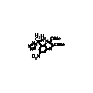 COc1nc2cc([N+](=O)[O-])cc(C(C)(N)n3cnnn3)c2nc1OC